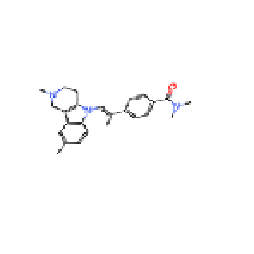 CC(=Cn1c2c(c3cc(C)ccc31)CN(C)CC2)c1ccc(C(=O)N(C)C)cc1